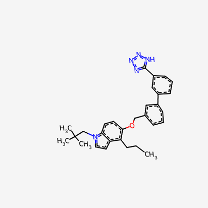 CCCc1c(OCc2cccc(-c3cccc(-c4nnn[nH]4)c3)c2)ccc2c1ccn2CC(C)(C)C